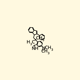 CN(C)c1ccc(C(C)(C)CC2C(c3ccccc3)=Cc3ccccc32)c(C=N)c1